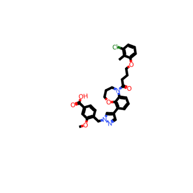 COc1cc(C(=O)O)ccc1Cn1cc(-c2cccc3c2OCCCN3C(=O)CCCOc2cccc(Cl)c2C)cn1